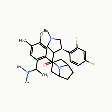 CC(=O)N(C(C)C)C(C)c1cc(C)c(Cl)cc1C1CC2CCC(C1)N2C(=O)C1CN(C(C)(C)C)C[C@H]1c1ccc(F)cc1F